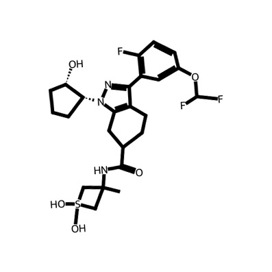 CC1(NC(=O)C2CCc3c(-c4cc(OC(F)F)ccc4F)nn([C@@H]4CCC[C@@H]4O)c3C2)CS(O)(O)C1